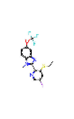 CCSc1cc(I)cnc1-c1nc2cc(OC(F)(F)F)ccc2n1C